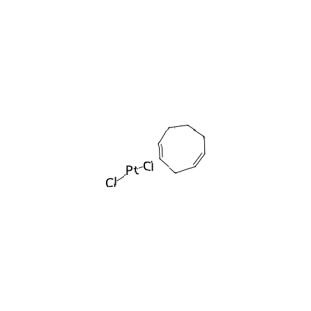 C1=C\CCC/C=C\C/1.[Cl][Pt][Cl]